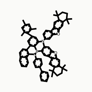 Cc1cc(C)c(-c2cc3c4c(c2)N(c2ccc5c(c2)oc2cc6c(cc25)C(C)(C)CCC6(C)C)c2cc5oc6cc7c(cc6c5cc2B4N(c2ccc(-c4ccccc4)cc2)c2c-3ccc3ccccc23)C(C)(C)CCC7(C)C)c(C)c1